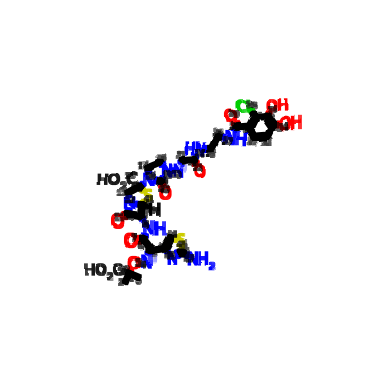 CC(C)(O/N=C(\C(=O)NC1C(=O)N2C[C@@](C(=O)O)(N3CCN(/N=C/C(=O)NCCNC(=O)c4ccc(O)c(O)c4Cl)C3=O)S[C@H]12)c1csc(N)n1)C(=O)O